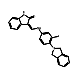 O=C1Nc2ccccc2C1=CNc1ccc(N2Cc3ccccc3C2)c(F)c1